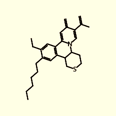 C=C(C)C1=CN2C(=CC1=C)c1cc(CC)c(CCCCCC)cc1C1CSCCC12